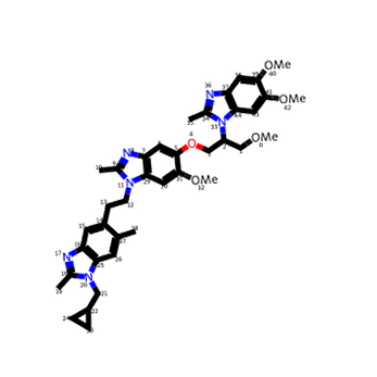 COCC(COc1cc2nc(C)n(CCc3cc4nc(C)n(CC5CC5)c4cc3C)c2cc1OC)n1c(C)nc2cc(OC)c(OC)cc21